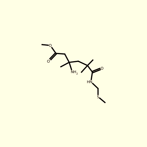 COC(=O)CC(C)(N)CC(C)(C)C(=O)NCSC